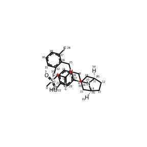 CS(=O)(=O)CC(=O)N(CCN1[C@@H]2CC[C@H]1C[C@@H](c1cccc(O)c1)C2)Cc1c(F)cccc1F